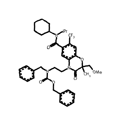 COCC1(C)Oc2cc(C(F)(F)F)c(C(=O)N(C(C)C)C3CCCCC3)cc2N(CCN(Cc2ccccc2)C(=O)OCc2ccccc2)C1=O